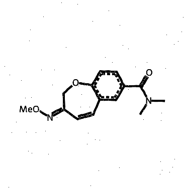 CON=C1C=Cc2cc(C(=O)N(C)C)ccc2OC1